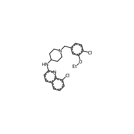 CCOc1cc(CN2CCC(Nc3ccc4cccc(Cl)c4n3)CC2)ccc1Cl